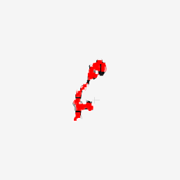 C=CC(=O)N1CCN(c2nc(O[C@H](C)CN3CCC(OCCOCCOCCOc4ccc(-c5csc([C@@H]6CCCN6C(=O)[C@@H](NC(=O)[C@H](C)N(C)C(=O)OC(C)(C)C)C6CCCCC6)n5)c5ccccc45)CC3)nc3c2CCN(c2cc(O)cc4ccccc24)C3)CC1